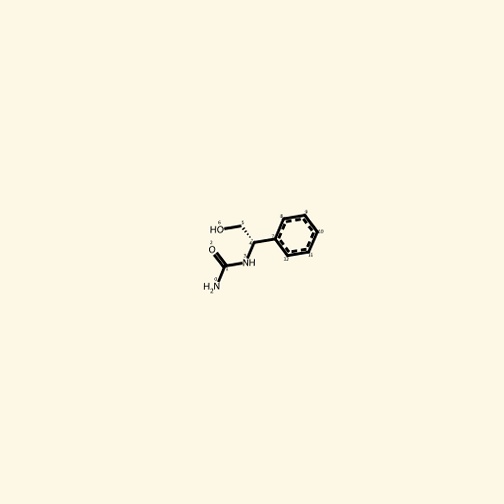 NC(=O)N[C@H](CO)c1ccccc1